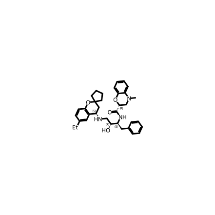 CCc1ccc2c(c1)[C@@H](NC[C@@H](O)[C@H](Cc1ccccc1)NC(=O)[C@H]1CN(C)c3ccccc3O1)CC1(CCCC1)O2